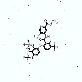 [2H]C([2H])([2H])Oc1c(Oc2ccc(C(F)(F)F)c(F)c2C(=O)Nc2cc(C(=O)OC)ncc2C)ccc(OC(F)(F)F)c1F